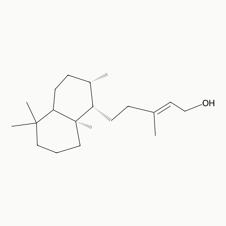 C/C(=C\CO)CC[C@H]1[C@@H](C)CCC2C(C)(C)CCC[C@@]21C